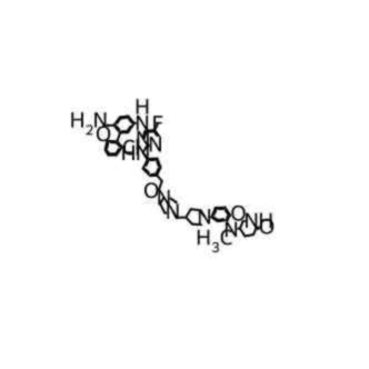 CN(c1cccc(N2CCC(CN3CCN(C(=O)Cc4ccc(Nc5ncc(F)c(Nc6ccc(C(N)=O)c(-c7ccccc7Cl)c6)n5)cc4)CC3)CC2)c1)C1CCC(=O)NC1=O